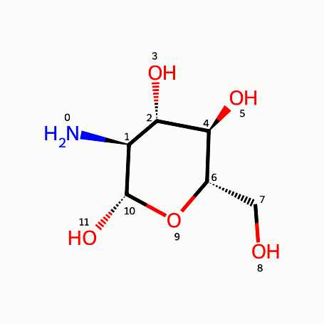 N[C@H]1[C@H](O)[C@@H](O)[C@H](CO)O[C@@H]1O